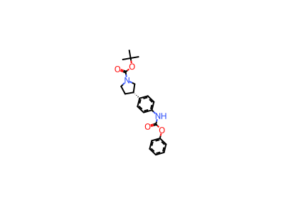 CC(C)(C)OC(=O)N1CC[C@@H](c2ccc(NC(=O)Oc3ccccc3)cc2)C1